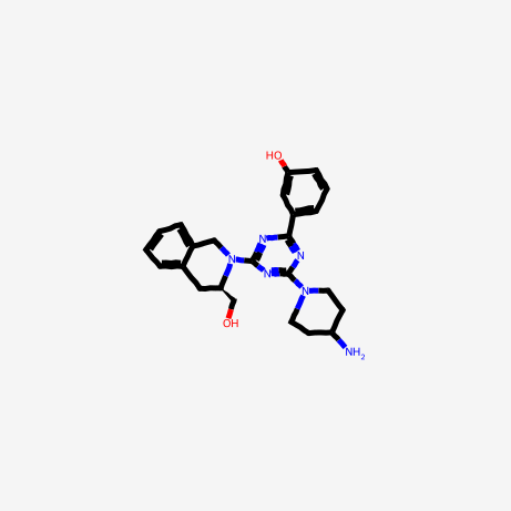 NC1CCN(c2nc(-c3cccc(O)c3)nc(N3Cc4ccccc4C[C@@H]3CO)n2)CC1